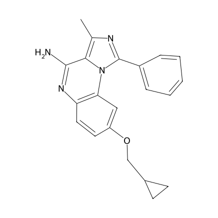 Cc1nc(-c2ccccc2)n2c1c(N)nc1ccc(OCC3CC3)cc12